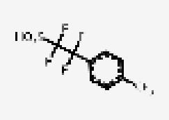 O=S(=O)(O)C(F)(F)C(F)(F)c1ccc(C(F)(F)F)cc1